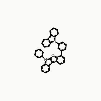 c1ccc(-n2c3ccccc3c3c4cccc(-c5cccc(-n6c7ccccc7c7ccccc76)c5)c4oc32)cc1